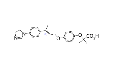 C/C(=C\COc1ccc(OC(C)(C)C(=O)O)cc1)c1ccc(N2C=NCC2)cc1